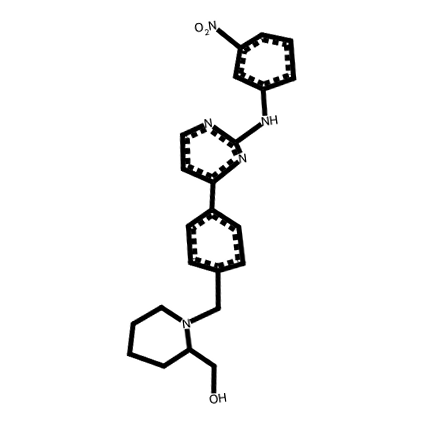 O=[N+]([O-])c1cccc(Nc2nccc(-c3ccc(CN4CCCCC4CO)cc3)n2)c1